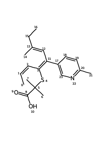 C\C=C/C(SC(C)(C)C(=O)O)=C(\C=C(/C)CC)c1ccc(C)nc1